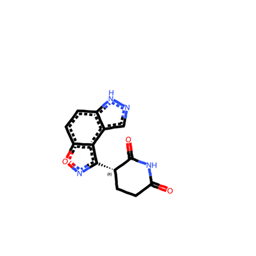 O=C1CC[C@H](c2noc3ccc4[nH]ncc4c23)C(=O)N1